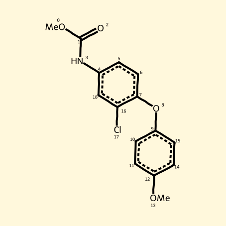 COC(=O)Nc1ccc(Oc2ccc(OC)cc2)c(Cl)c1